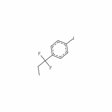 CCC(F)(F)c1ccc(I)cc1